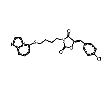 O=C1OC(=Cc2ccc(Cl)cc2)C(=O)N1CCCCSc1cccc2nccn12